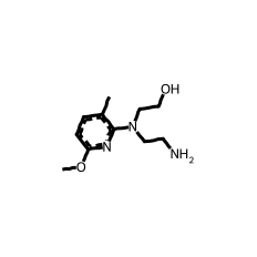 COc1ccc(C)c(N(CCN)CCO)n1